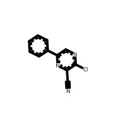 N#Cc1nc(-c2ccccc2)cnc1Cl